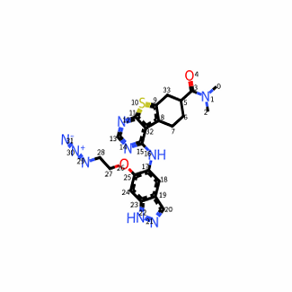 CN(C)C(=O)C1CCc2c(sc3ncnc(Nc4cc5cn[nH]c5cc4OCCN=[N+]=[N-])c23)C1